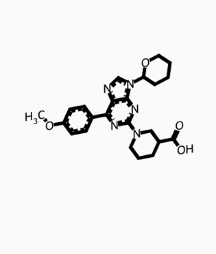 COc1ccc(-c2nc(N3CCCC(C(=O)O)C3)nc3c2ncn3C2CCCCO2)cc1